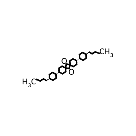 CCCCC[C@H]1CC[C@H](C2CCC3(CC2)C(=O)C2(CCC([C@H]4CC[C@H](CCCCC)CC4)CC2)C3=O)CC1